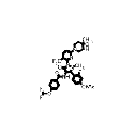 COc1ccc(-c2c(NC(=O)c3ccc(OC(F)F)cc3)c(=O)n(-c3nc(N4CCC(C)(O)CC4)ccc3C(F)(F)F)n2C)c(F)c1